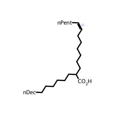 CCCCC/C=C\CCCCCCC(CCCCCCCCCCCCCCCC)C(=O)O